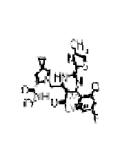 COC(=O)C1=C(CN2CC3(CC3)C[C@H]2C(=O)NC(C)C)NC(c2nc(C)cs2)=N[C@H]1c1ccc(F)cc1Cl